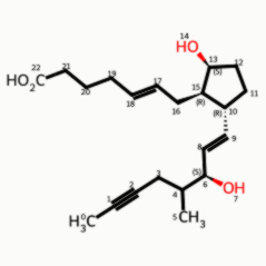 CC#CCC(C)[C@H](O)C=C[C@H]1CC[C@H](O)[C@@H]1CC=CCCCC(=O)O